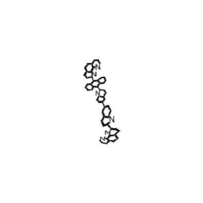 c1cnc2c(c1)ccc1ccc(-c3ccc4cc(-c5ccc6nc(-c7c8ccccc8c(-c8ccc9ccc%10cccnc%10c9n8)c8ccccc78)ccc6c5)ccc4n3)nc12